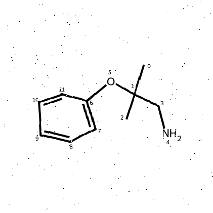 CC(C)(CN)Oc1cc[c]cc1